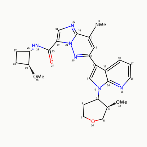 CNc1cc(-c2cn(C3CCOC[C@@H]3OC)c3ncccc23)nn2c(C(=O)N[C@H]3CC[C@@H]3OC)cnc12